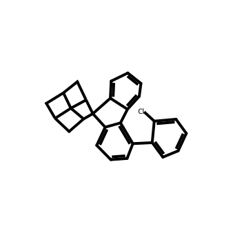 Clc1ccccc1-c1cccc2c1-c1ccccc1C21C2CC3CC4CC1C342